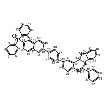 O=P(c1ccccc1)(c1ccccc1)c1ccc2cc(-c3ccc(-c4ccc5nc(-c6ccccc6)n6c7ccccc7nc6c5c4)cc3)ccc2c1